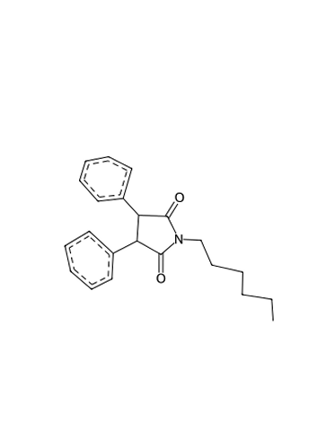 CCCCCCN1C(=O)C(c2ccccc2)C(c2ccccc2)C1=O